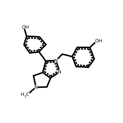 CN1Cc2nn(Cc3cccc(O)c3)c(-c3ccc(O)cc3)c2C1